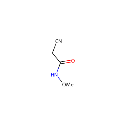 CONC(=O)CC#N